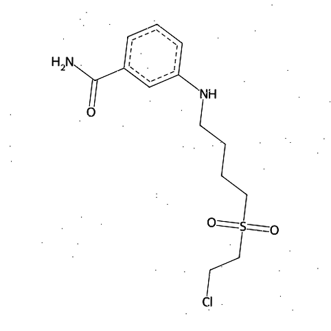 NC(=O)c1cccc(NCCCCS(=O)(=O)CCCl)c1